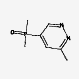 Cc1cc(P(C)(C)=O)cnn1